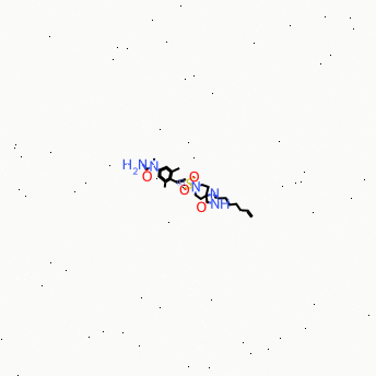 C=CCCCCC1=NC2(CCN(S(=O)(=O)/C=C/c3c(C)cc(N(C)C(N)=O)cc3C)CC2)C(=O)N1